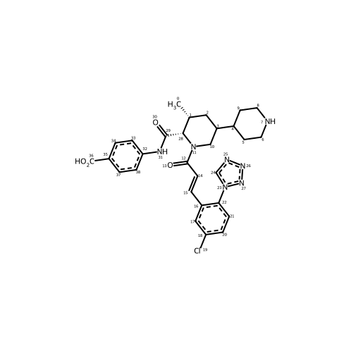 C[C@@H]1CC(C2CCNCC2)CN(C(=O)/C=C/c2cc(Cl)ccc2-n2cnnn2)[C@@H]1C(=O)Nc1ccc(C(=O)O)cc1